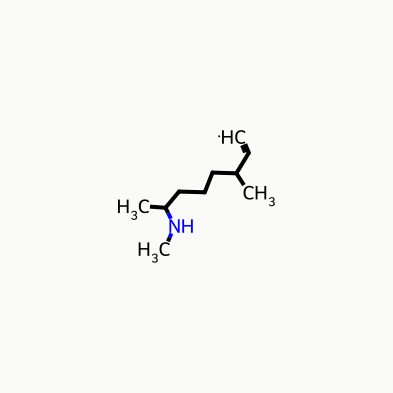 [CH]=CC(C)CCCC(C)NC